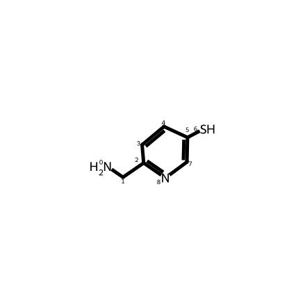 NCc1ccc(S)cn1